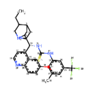 CCC1CN2CCC1CC2[C@H](NC(=S)Nc1cc(C)cc(C(F)(F)F)c1)c1ccnc2ccc(OC)cc12